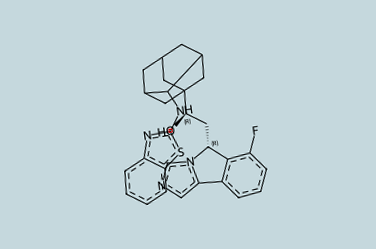 O[C@H](C[C@@H]1c2c(F)cccc2-c2cncn21)C12CC3CC(C1)C(Nc1nc4ccccc4s1)C(C3)C2